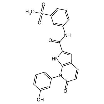 CS(=O)(=O)c1cccc(NC(=O)c2cc3ccc(=O)n(-c4cccc(O)c4)c3[nH]2)c1